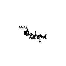 COCC12CCC(CC1)N(c1nccc(Nc3cc(C4CC4)[nH]n3)n1)C2